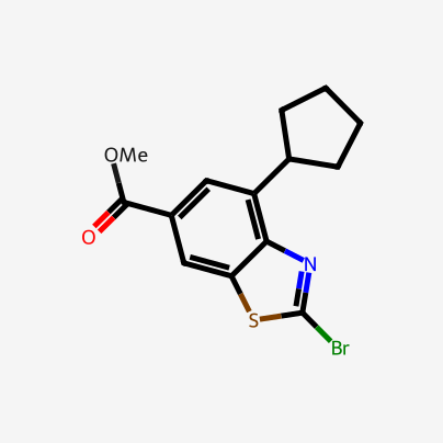 COC(=O)c1cc(C2CCCC2)c2nc(Br)sc2c1